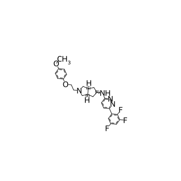 COc1ccc(OCCN2C[C@H]3C[C@@H](Nc4ccc(-c5cc(F)cc(F)c5F)nn4)C[C@H]3C2)cc1